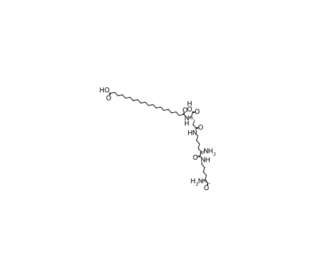 N[C@H]([C]=O)CCCCNC(=O)[C@@H](N)CCCCNC(=O)CC[C@H](NC(=O)CCCCCCCCCCCCCCCCCCC(=O)O)C(=O)O